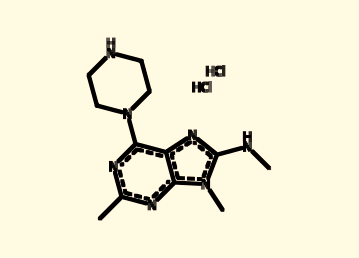 CNc1nc2c(N3CCNCC3)nc(C)nc2n1C.Cl.Cl